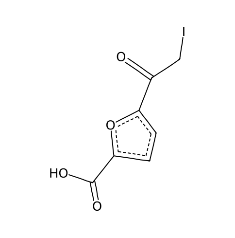 O=C(O)c1ccc(C(=O)CI)o1